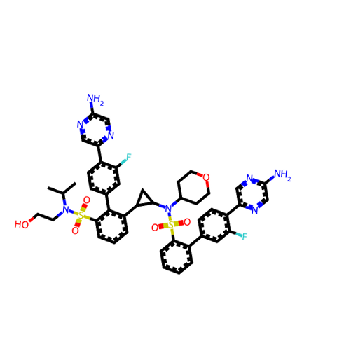 CC(C)N(CCO)S(=O)(=O)c1cccc(C2CC2N(C2CCOCC2)S(=O)(=O)c2ccccc2-c2ccc(-c3cnc(N)cn3)c(F)c2)c1-c1ccc(-c2cnc(N)cn2)c(F)c1